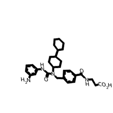 Nc1cccc(NC(=O)N(Cc2ccc(C(=O)NCCC(=O)O)cc2)C2CCC(C3CCCCC3)CC2)c1